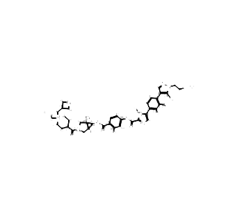 COCCn1ncc(-c2ccc(-c3cnc(C(=O)Nc4ccc(C(=O)N[C@H]5[C@@H]6CN(C(=O)C7CC[N+](CC(C)=O)(CC8CNC8)CC7)C[C@@H]65)c(Cl)c4)n3C)c(F)c2F)c1C